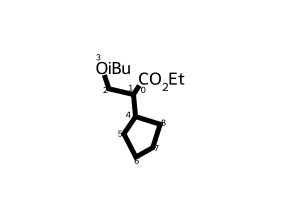 CCOC(=O)C(COCC(C)C)C1CCCC1